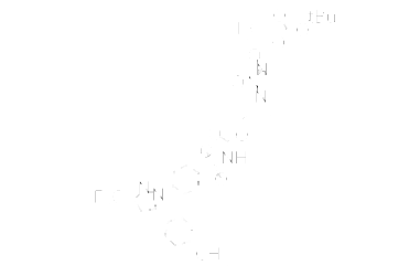 Cc1ccc(-c2cc(C(F)(F)F)nn2-c2ccc(S(=O)(=O)NC(=O)OC[C@@H]3CCN3/[N+]([O-])=N/OC(C)OC(=O)OC(C)(C)C)cc2)cc1